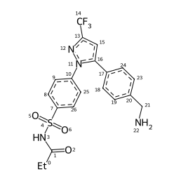 CCC(=O)NS(=O)(=O)c1ccc(-n2nc(C(F)(F)F)cc2-c2ccc(CN)cc2)cc1